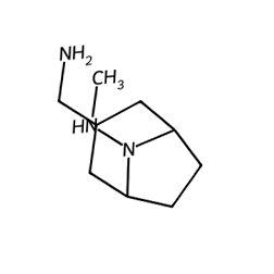 CNN1C2CCC1CC(CN)C2